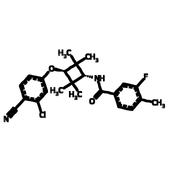 Cc1ccc(C(=O)N[C@H]2C(C)(C)[C@H](Oc3ccc(C#N)c(Cl)c3)C2(C)C)cc1F